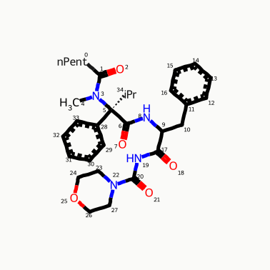 CCCCCC(=O)N(C)[C@@](C(=O)NC(Cc1ccccc1)C(=O)NC(=O)N1CCOCC1)(c1ccccc1)C(C)C